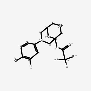 O=C(OC12CNCC(CN(c3cnc(Cl)c(Cl)c3)C1)O2)C(F)(F)F